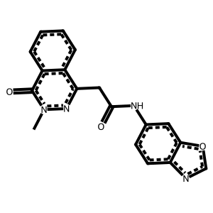 Cn1nc(CC(=O)Nc2ccc3ncoc3c2)c2ccccc2c1=O